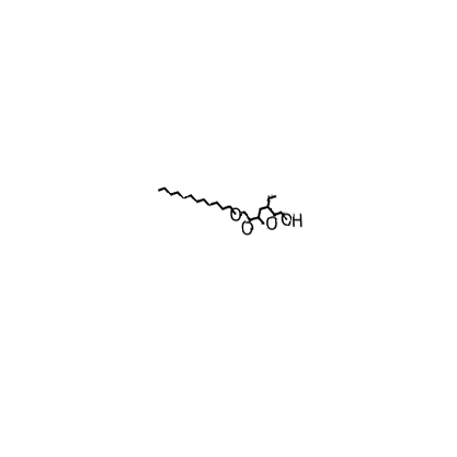 CCCCCCCCCCCCOCC(=O)C(C)CC(CC)C(=O)CO